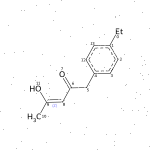 CCc1ccc(CC(=O)/C=C(/C)O)cc1